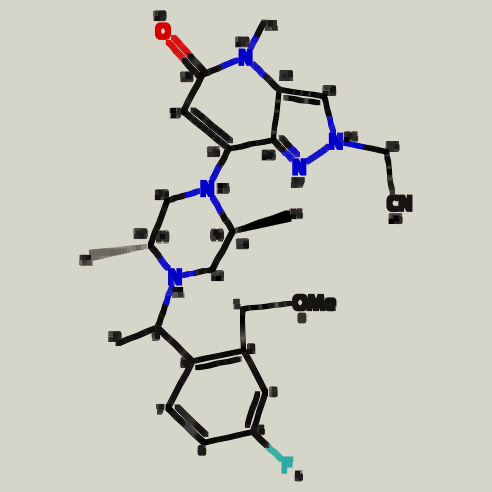 COCc1cc(F)ccc1C(C)N1C[C@H](C)N(c2cc(=O)n(C)c3cn(CC#N)nc23)C[C@H]1C